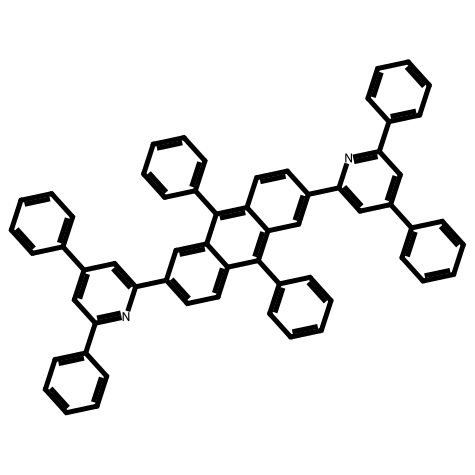 c1ccc(-c2cc(-c3ccccc3)nc(-c3ccc4c(-c5ccccc5)c5cc(-c6cc(-c7ccccc7)cc(-c7ccccc7)n6)ccc5c(-c5ccccc5)c4c3)c2)cc1